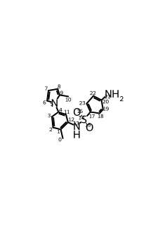 Cc1ccc(-n2cccc2C)cc1NS(=O)(=O)c1ccc(N)cc1